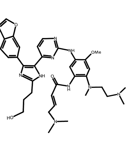 COc1cc(N(C)CCN(C)C)c(NC(=O)/C=C/CN(C)C)cc1Nc1nccc(-c2[nH]c(CCCO)nc2-c2ccc3ccoc3c2)n1